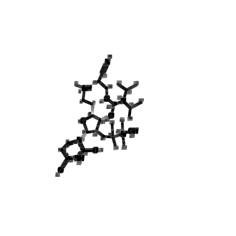 CNCC[C@H]1O[C@@H](n2ccc(=O)[nH]c2=O)C(CC(C)(C)[Si](C)(C)O)[C@H]1OP(OCCC#N)N(C(C)C)C(C)C